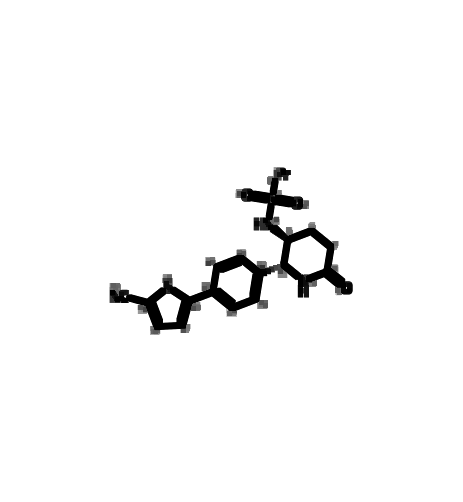 CC(C)S(=O)(=O)N[C@H]1CCC(=O)N[C@@H]1c1ccc(-c2ccc(C#N)s2)cc1